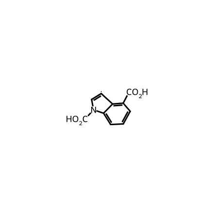 O=C(O)c1cccc2c1[c]cn2C(=O)O